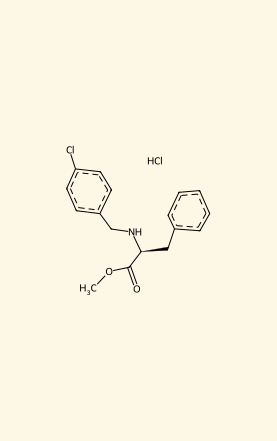 COC(=O)[C@H](Cc1ccccc1)NCc1ccc(Cl)cc1.Cl